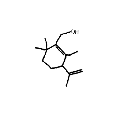 C=C(C)C1CCC(C)(C)C(CO)=C1C